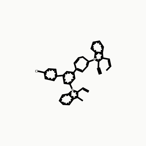 C#Cc1c(/C=C\C)c2ccccc2n1C1=CC=C(c2cc(-c3ccc(Cl)cc3)cc(-n3c(C=C)c(C)c4ccccc43)c2)C=CC1